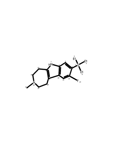 CCS(CC)(CC)c1cc2[nH]c3c(c2cc1F)CCN(C)CC3